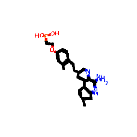 Cc1ccc2c(c1)nc(N)c1ncc(CCc3ccc(OCCP(O)O)cc3C)cc12